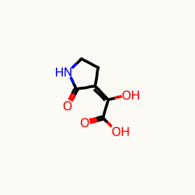 O=C(O)C(O)=C1CCNC1=O